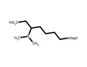 CCCCCCCCCCCC(CC(=O)O)N(C)C